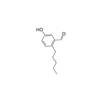 CCCCCc1ccc(O)cc1C=O